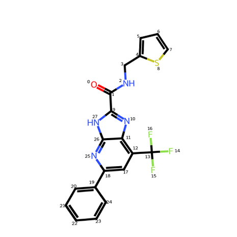 O=C(NCc1cccs1)c1nc2c(C(F)(F)F)cc(-c3ccccc3)nc2[nH]1